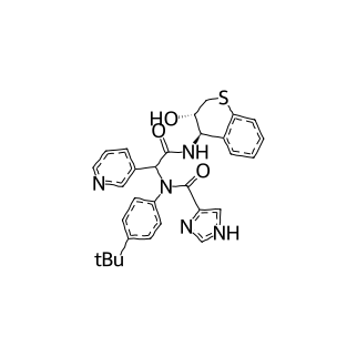 CC(C)(C)c1ccc(N(C(=O)c2c[nH]cn2)C(C(=O)N[C@@H]2c3ccccc3SC[C@H]2O)c2cccnc2)cc1